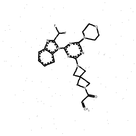 C=CC(=O)N1CC2(C1)CN(c1nc(N3CCOCC3)nc(-n3c(C(F)F)nc4ccccc43)n1)C2